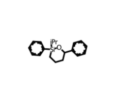 CC(C)[Si]1(c2ccccc2)CCCC(c2ccccc2)O1